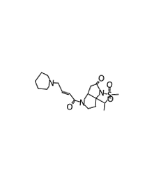 CC(C)C12CCN(C(=O)/C=C/CN3CCCCC3)C1CC(=O)N2S(C)(=O)=O